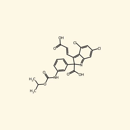 CC(C)OC(=O)Nc1cccc(C2(C(=O)O)N=c3cc(Cl)cc(Cl)c3=C2C=CC(=O)O)c1